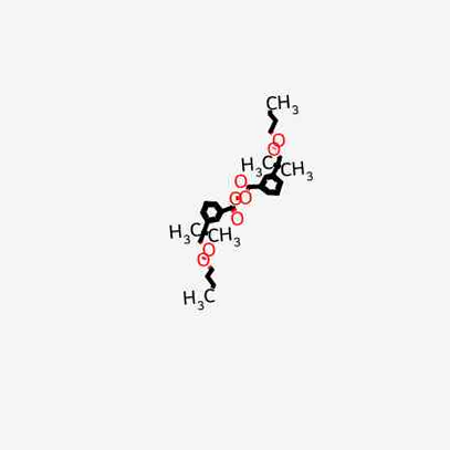 CCCCOOCC(C)(C)c1cccc(C(=O)OOC(=O)c2cccc(C(C)(C)COOCCCC)c2)c1